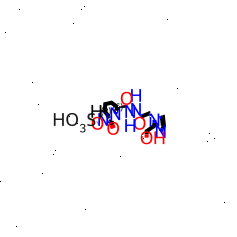 O=C(Cn1ccnc1CO)NNC(=O)[C@@H]1CC[C@@H]2CN1C(=O)N2OS(=O)(=O)O